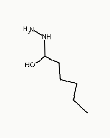 CCCCCC(O)NN